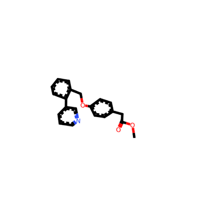 COC(=O)Cc1ccc(OCc2ccccc2-c2cccnc2)cc1